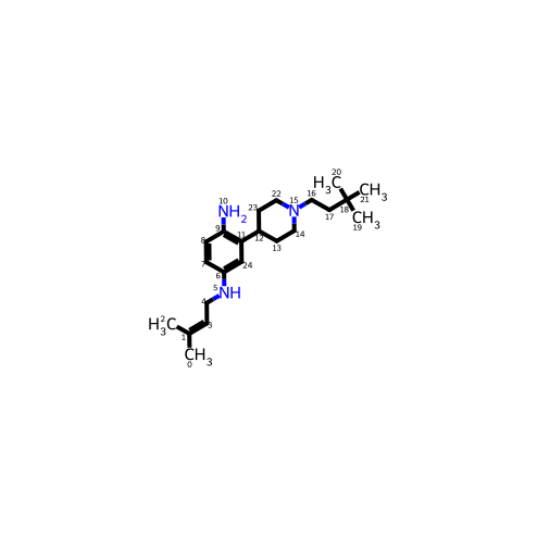 CC(C)=CCNc1ccc(N)c(C2CCN(CCC(C)(C)C)CC2)c1